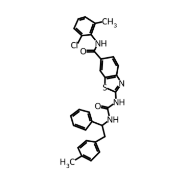 Cc1ccc(CC(NC(=O)Nc2nc3ccc(C(=O)Nc4c(C)cccc4Cl)cc3s2)c2ccccc2)cc1